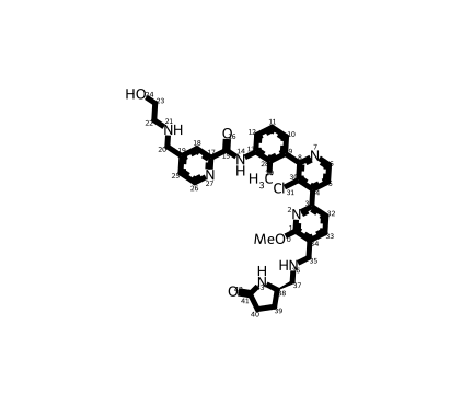 COc1nc(-c2ccnc(-c3cccc(NC(=O)c4cc(CNCCO)ccn4)c3C)c2Cl)ccc1CNC[C@H]1CCC(=O)N1